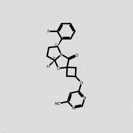 N#Cc1cc(OC2CC3(C2)O[C@@H]2CC[C@@H](c4ccccc4F)N2C3=O)ncn1